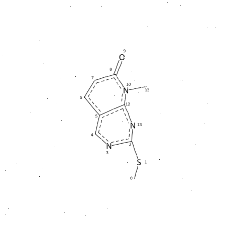 CSc1ncc2ccc(=O)n(C)c2n1